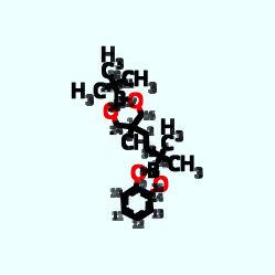 CC1(CCC(C)(C)B2Oc3ccccc3O2)COB(C(C)(C)C)OC1